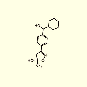 OC(c1ccc(C2=NOC(O)(C(F)(F)F)C2)cc1)C1CCCCC1